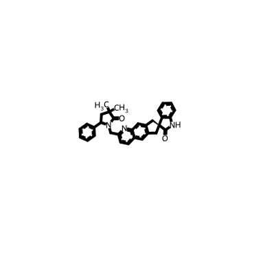 CC1(C)CC(c2ccccc2)N(Cc2ccc3cc4c(cc3n2)C[C@]2(C4)C(=O)Nc3ccccc32)C1=O